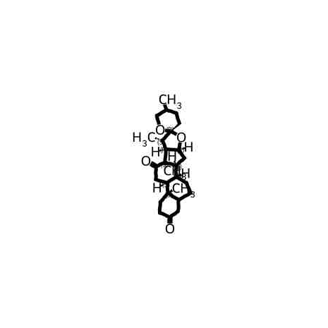 CC1CC[C@@]2(OC1)O[C@H]1C[C@H]3[C@@H]4CCC5CC(=O)CC[C@]5(C)[C@H]4CC(=O)[C@]3(C)[C@H]1[C@@H]2C